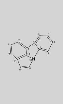 c1ccc2c(c1)c1cccc3ccn2c31